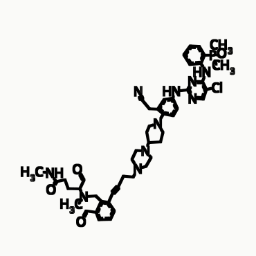 CNC(=O)CCC(C=O)N(C)Cc1c(C#CCCN2CCN(C3CCN(c4ccc(Nc5ncc(Cl)c(Nc6ccccc6P(C)(C)=O)n5)cc4CC#N)CC3)CC2)cccc1C=O